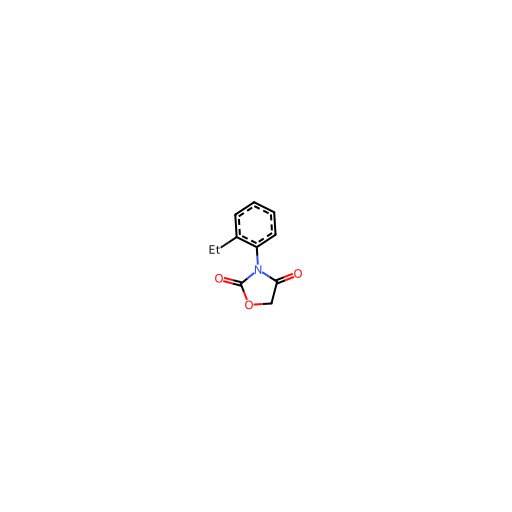 CCc1ccccc1N1C(=O)COC1=O